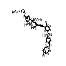 COCCn1cc(Nc2ncc(C#Cc3cc(C(=O)Nc4ccc(CN5CCN(C)CC5)cc4)ccc3C)cn2)c(OC)n1